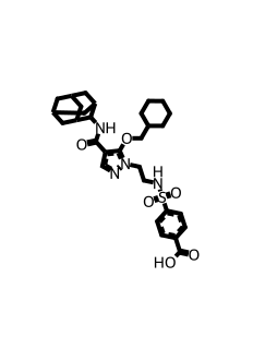 O=C(O)c1ccc(S(=O)(=O)NCCn2ncc(C(=O)NC3C4CC5CC(C4)CC3C5)c2OCC2CCCCC2)cc1